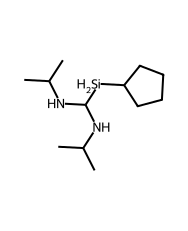 CC(C)NC(NC(C)C)[SiH2]C1CCCC1